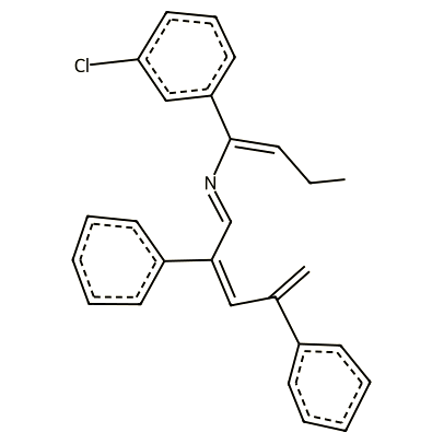 C=C(\C=C(/C=N/C(=C\CC)c1cccc(Cl)c1)c1ccccc1)c1ccccc1